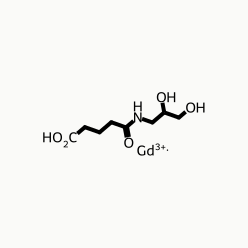 O=C(O)CCCC(=O)NCC(O)CO.[Gd+3]